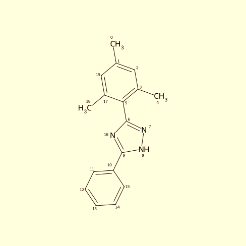 Cc1cc(C)c(-c2n[nH]c(-c3ccccc3)n2)c(C)c1